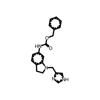 O=C(Nc1ccc2c(c1)N(Cc1c[nH]cn1)CC2)OCc1ccccc1